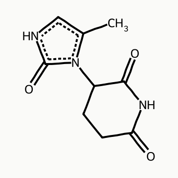 Cc1c[nH]c(=O)n1C1CCC(=O)NC1=O